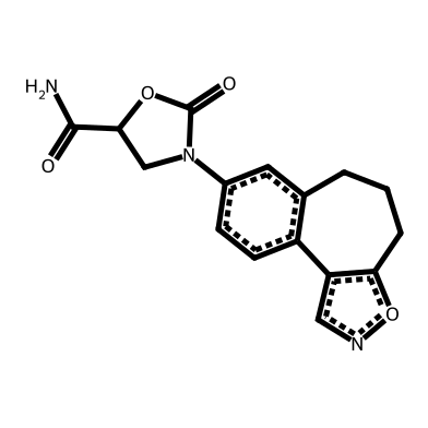 NC(=O)C1CN(c2ccc3c(c2)CCCc2oncc2-3)C(=O)O1